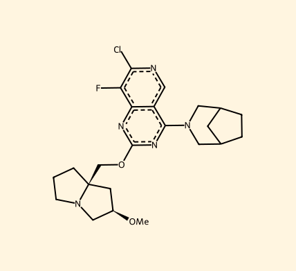 CO[C@H]1CN2CCC[C@]2(COc2nc(N3CC4CCC(C4)C3)c3cnc(Cl)c(F)c3n2)C1